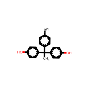 CCCc1ccc(C(C)(c2ccc(O)cc2)c2ccc(O)cc2)cc1